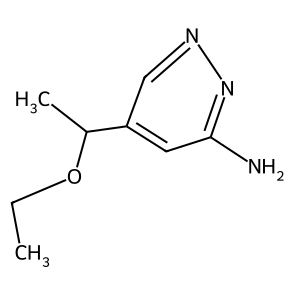 CCOC(C)c1cnnc(N)c1